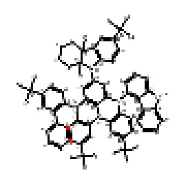 CC(C)(C)c1ccc2c(c1)B1c3cc(C(C)(C)C)ccc3N(c3cccc4oc5ccccc5c34)c3cc(N4c5ccc(C(C)(C)C)cc5C5(C)CCCCC45C)cc(c31)N2c1ccc(C(C)(C)C)cc1-c1ccccc1